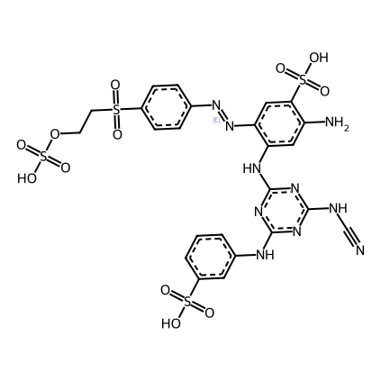 N#CNc1nc(Nc2cccc(S(=O)(=O)O)c2)nc(Nc2cc(N)c(S(=O)(=O)O)cc2/N=N/c2ccc(S(=O)(=O)CCOS(=O)(=O)O)cc2)n1